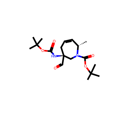 C[C@H]1C=CC[C@](C=O)(NC(=O)OC(C)(C)C)CN1C(=O)OC(C)(C)C